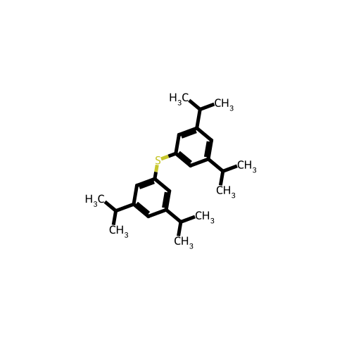 CC(C)c1cc(Sc2cc(C(C)C)cc(C(C)C)c2)cc(C(C)C)c1